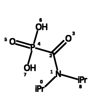 CC(C)N(C(=O)P(=O)(O)O)C(C)C